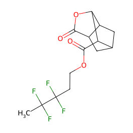 CC(F)(F)C(F)(F)CCOC(=O)C1C2CC3C(=O)OC1C3C2